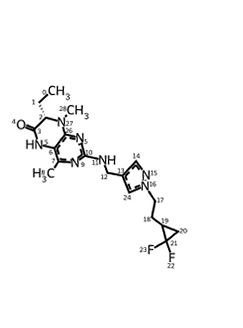 CC[C@H]1C(=O)Nc2c(C)nc(NCc3cnn(CCC4CC4(F)F)c3)nc2N1C